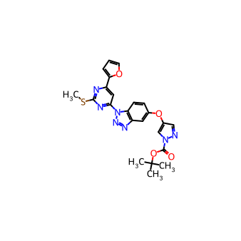 CSc1nc(-c2ccco2)cc(-n2nnc3cc(Oc4cnn(C(=O)OC(C)(C)C)c4)ccc32)n1